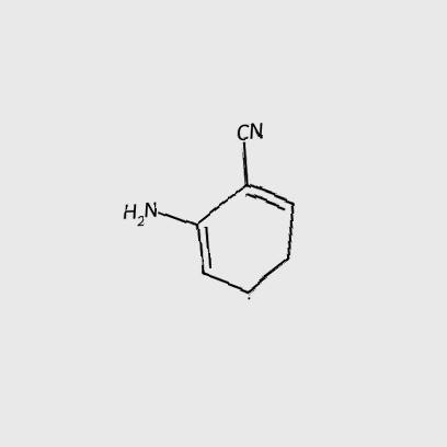 N#CC1=CC[CH]C=C1N